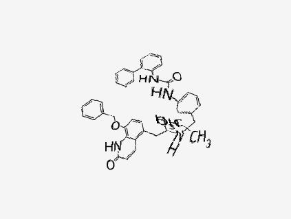 CC(C)(Cc1cccc(NC(=O)Nc2ccccc2-c2ccccc2)c1)NC(O)Cc1ccc(OCc2ccccc2)c2[nH]c(=O)ccc12